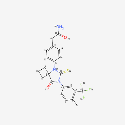 Cc1ccc(N2C(=O)C3(CCC3)N(c3ccc(CC(N)=O)cc3)C2=S)cc1C(F)(F)F